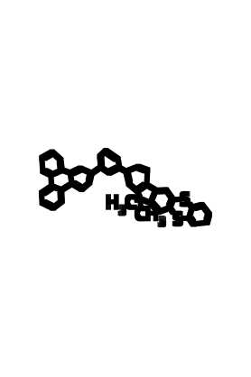 CC1(C)c2cc(-c3cccc(-c4ccc5c6ccccc6c6ccccc6c5c4)c3)ccc2-c2cc3c(cc21)Sc1ccccc1S3